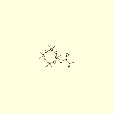 C=C(C)C(=O)O[Si]1(C)O[Si](C)(C)O[Si](C)(C)O[Si](C)(C)O1